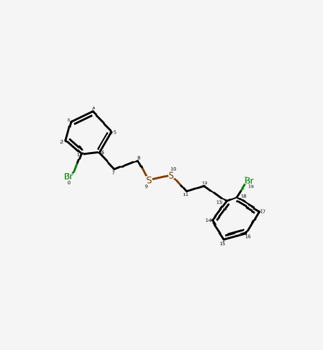 Brc1ccccc1CCSSCCc1ccccc1Br